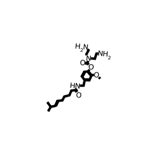 COc1cc(CNC(=O)CCCCC=CC(C)C)ccc1OC(=O)N(CCN)CCN